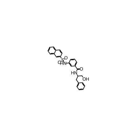 O=C(NC(CO)Cc1ccccc1)c1cccc(NS(=O)(=O)c2ccc3ccccc3c2)c1